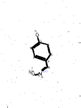 [O]c1ccc(/C=N\O)cc1